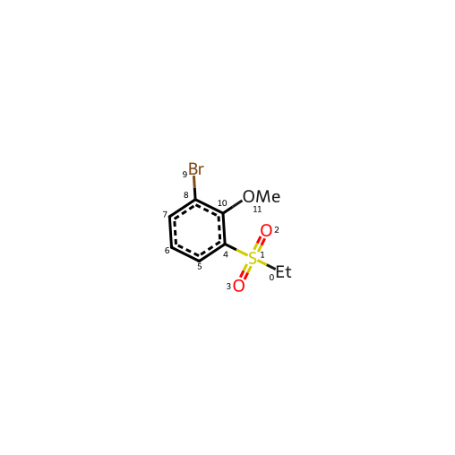 CCS(=O)(=O)c1cccc(Br)c1OC